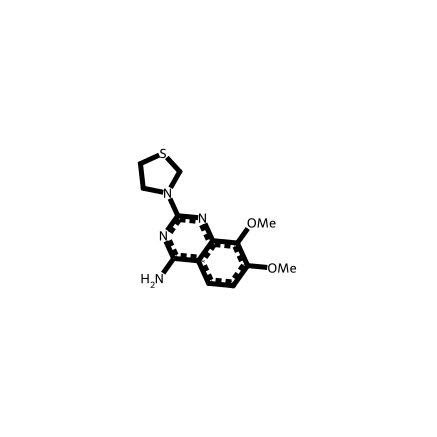 COc1ccc2c(N)nc(N3CCSC3)nc2c1OC